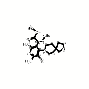 Cc1nc(C)c([C@H](OC(C)(C)C)C(=O)OC(C)C)c(N2CCC3(CCOC3)CC2)c1Br